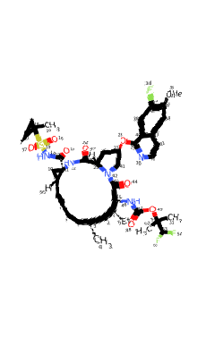 CC[C@@H]1C[C@H](C)CCC=C[C@@H]2C[C@@]2(C(=O)NS(=O)(=O)C2(C)CC2)NC(=O)[C@@H]2C[C@@H](Oc3nccc4cc(OC)c(F)cc34)CN2C(=O)[C@H]1NC(=O)OC(C)(C)C(F)F